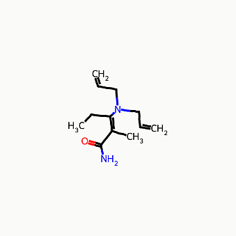 C=CCN(CC=C)C(CC)=C(C)C(N)=O